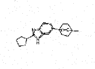 CC12CCC(c3ccc4nc(C5CCCC5)[nH]c4c3)(CC1)CC2